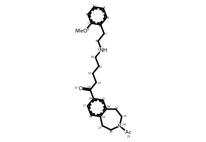 COc1ccccc1CCNCCCCC(=O)c1ccc2c(c1)CCN(C(C)=O)CC2